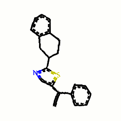 C=C(c1ccccc1)c1cnc(C2CCc3ccccc3C2)s1